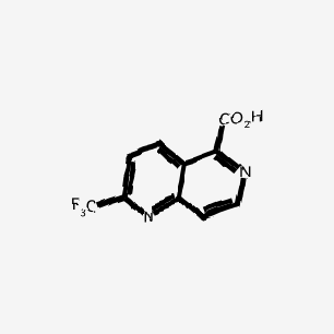 O=C(O)c1nccc2nc(C(F)(F)F)ccc12